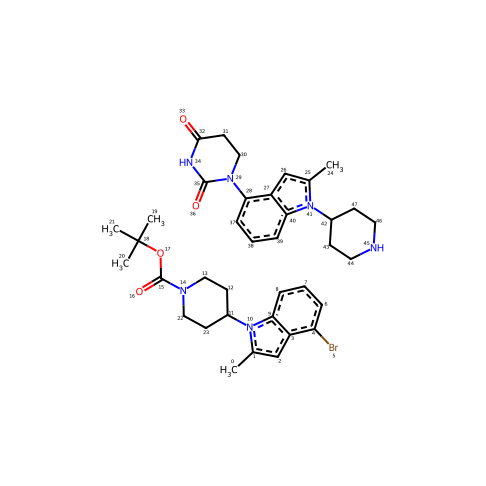 Cc1cc2c(Br)cccc2n1C1CCN(C(=O)OC(C)(C)C)CC1.Cc1cc2c(N3CCC(=O)NC3=O)cccc2n1C1CCNCC1